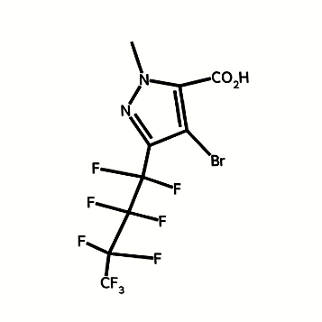 Cn1nc(C(F)(F)C(F)(F)C(F)(F)C(F)(F)F)c(Br)c1C(=O)O